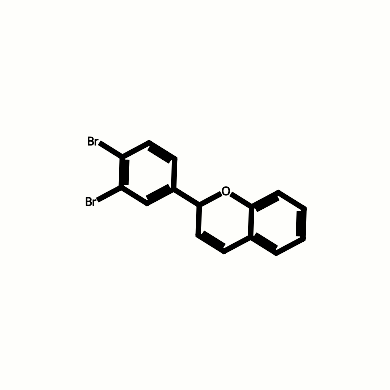 Brc1ccc(C2C=Cc3ccccc3O2)cc1Br